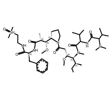 CC[C@H](C)[C@@H]([C@@H](CC(=O)N1CCC[C@H]1[C@H](OC)[C@@H](C)C(=O)N[C@@H](Cc1ccccc1)C(=O)NCC[SH](C)(C)=O)OC)N(C)C(=O)C(NC(=O)C(C(C)C)N(C)C)C(C)C